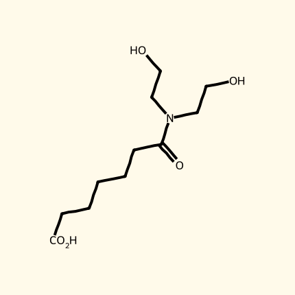 O=C(O)CCCCCC(=O)N(CCO)CCO